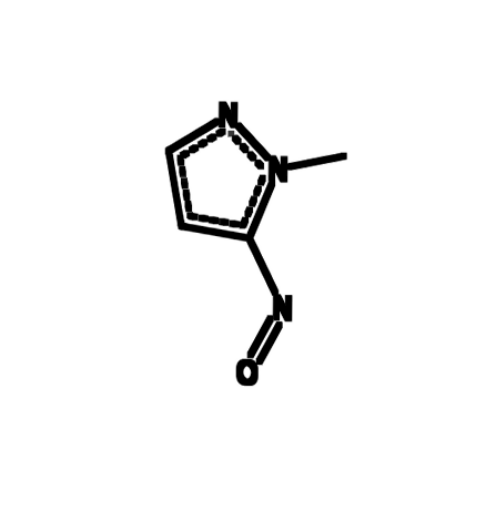 Cn1nccc1N=O